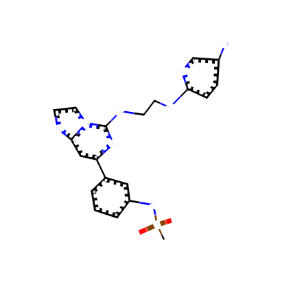 CS(=O)(=O)Nc1cccc(-c2cc3nccn3c(NCCNc3ccc(N)cn3)n2)c1